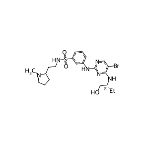 CC[C@H](CO)Nc1nc(Nc2cccc(S(=O)(=O)NCCC3CCCN3C)c2)ncc1Br